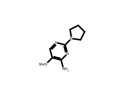 COc1cnc(N2CCCC2)nc1N